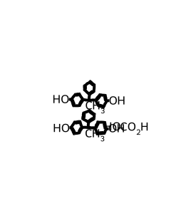 CC(c1ccccc1)(c1ccc(O)cc1)c1ccc(O)cc1.CC(c1ccccc1)(c1ccc(O)cc1)c1ccc(O)cc1.O=C(O)O